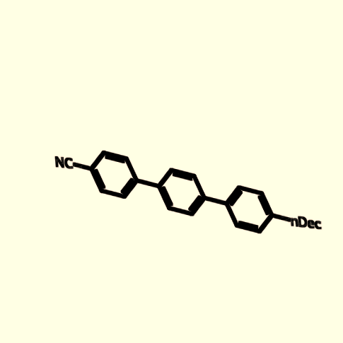 CCCCCCCCCCc1ccc(-c2ccc(-c3ccc(C#N)cc3)cc2)cc1